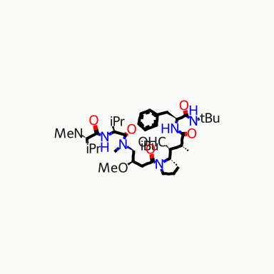 CC[C@H](C)[C@@H]([C@@H](CC(=O)N1CCC[C@H]1[C@H](C=O)[C@@H](C)C(=O)N[C@@H](Cc1ccccc1)C(=O)NC(C)(C)C)OC)N(C)C(=O)[C@@H](NC(=O)[C@@H](NC)C(C)C)C(C)C